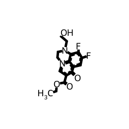 CCOC(=O)c1cn2c3c(c(F)c(F)cc3c1=O)N(CCO)CC2